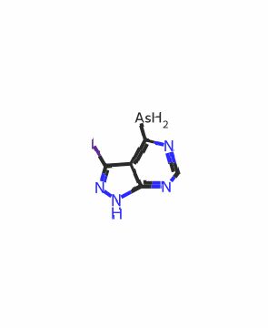 [AsH2]c1ncnc2[nH]nc(I)c12